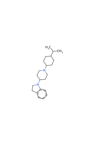 CC(C)C1CCC(N2CCC(N3CCc4ccccc43)CC2)CC1